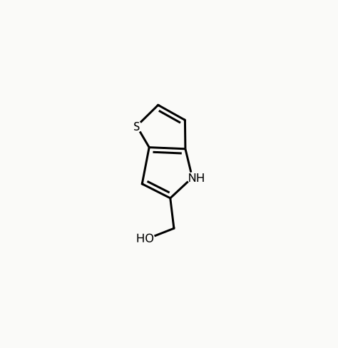 OCc1cc2sccc2[nH]1